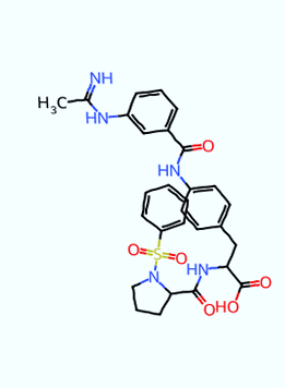 CC(=N)Nc1cccc(C(=O)Nc2ccc(CC(NC(=O)C3CCCN3S(=O)(=O)c3ccccc3)C(=O)O)cc2)c1